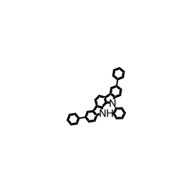 c1ccc(-c2ccc3[nH]c4c(ccc5c6cc(-c7ccccc7)ccc6n(-c6ccccc6)c54)c3c2)cc1